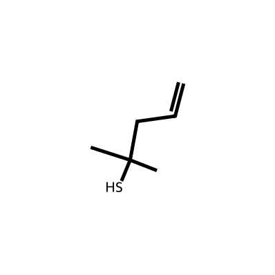 C=CCC(C)(C)S